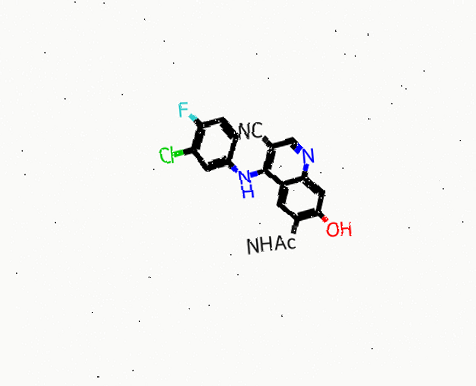 CC(=O)Nc1cc2c(Nc3ccc(F)c(Cl)c3)c(C#N)cnc2cc1O